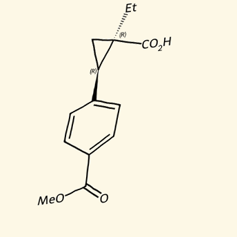 CC[C@@]1(C(=O)O)C[C@@H]1c1ccc(C(=O)OC)cc1